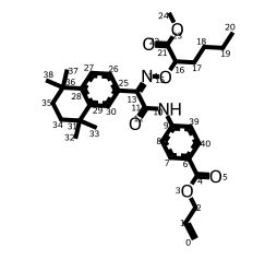 C=CCOC(=O)c1ccc(NC(=O)C(=NOC(CCCC)C(=O)OC)c2ccc3c(c2)C(C)(C)CCC3(C)C)cc1